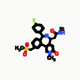 CCNC(=O)C[C@@H]1N=C(c2ccc(F)cc2)c2ccc(CS(C)(=O)=O)cc2-c2cn(C)c(=O)cc21